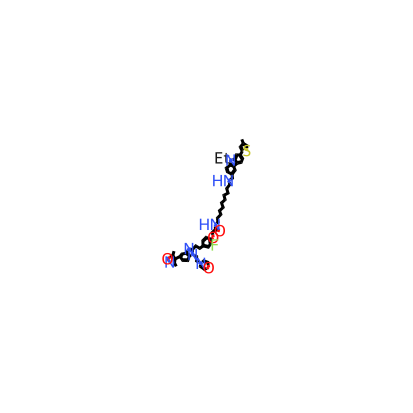 CCn1c2ccc(CNCCCCCCCCCCCNC(=O)COc3ccc(CCc4nc5cc(-c6c(C)noc6C)ccc5n4CCN4CCOCC4)cc3F)cc2c2ccc(-c3cc(C)cs3)cc21